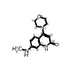 CNc1ccc2c(N3CCOCC3)cc(=O)[nH]c2c1